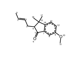 CC=CCC1C(=O)c2cc(OC)ccc2C1(C)C